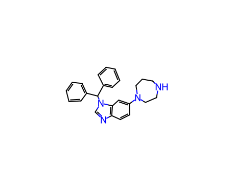 c1ccc(C(c2ccccc2)n2cnc3ccc(N4CCCNCC4)cc32)cc1